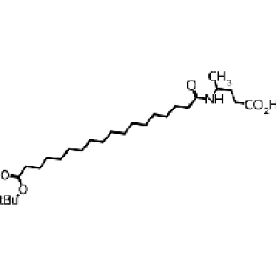 CC(CCC(=O)O)NC(=O)CCCCCCCCCCCCCCCCC(=O)OC(C)(C)C